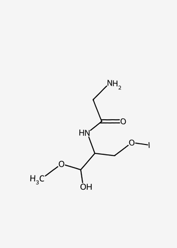 COC(O)C(COI)NC(=O)CN